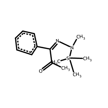 CC(=O)/C(=N\N(C)[Si](C)(C)C)c1ccccc1